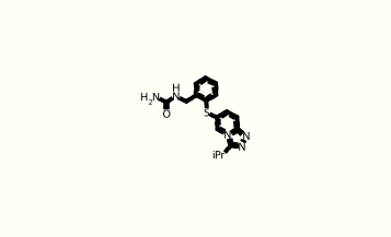 CC(C)c1nnc2ccc(Sc3ccccc3CNC(N)=O)cn12